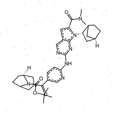 CN(C)C(=O)c1cc2cnc(Nc3ccc(C(=O)N4CC5CC[C@@H](C4)N5C(=O)OC(C)(C)C)cn3)nc2n1[C@H]1C[C@@H]2CCC1C2